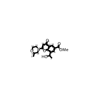 COC(=O)c1cc(C(C)O)c2oc(N3CCOC(C)C3)cc(=O)c2c1